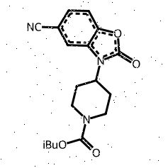 CC(C)COC(=O)N1CCC(n2c(=O)oc3ccc(C#N)cc32)CC1